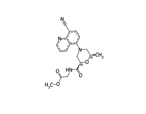 COC(=O)CNC(=O)[C@H]1CN(c2ccc(C#N)c3ncccc23)C[C@@H](C)O1